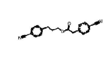 N#Cc1ccc(CCCOC(=O)Cc2ccc(C#N)cc2)cc1